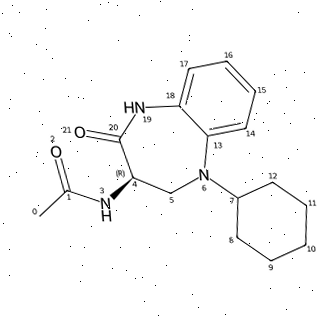 CC(=O)N[C@@H]1CN(C2CCCCC2)c2ccccc2NC1=O